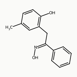 Cc1ccc(O)c(CC(=NO)c2ccccc2)c1